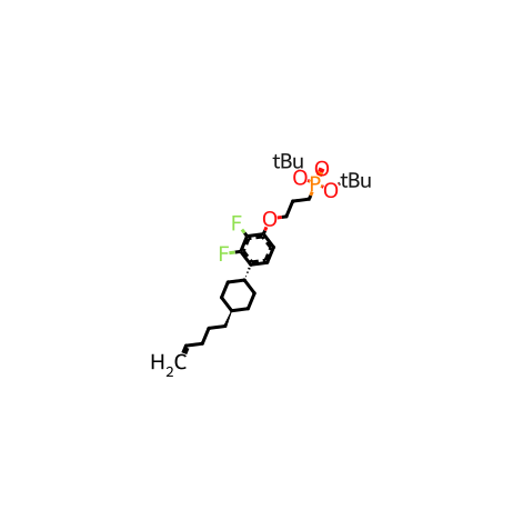 C=CCCC[C@H]1CC[C@H](c2ccc(OCCCP(=O)(OC(C)(C)C)OC(C)(C)C)c(F)c2F)CC1